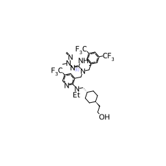 C=NN(C)/N=C(\N)N(Cc1cc(C(F)(F)F)cc(C(F)(F)F)c1)Cc1cc(C(F)(F)F)cnc1N(CC)C[C@H]1CC[C@H](CCO)CC1